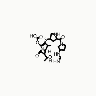 CC(O)C1C(=O)N2C(OC(=O)O)=C(SC3CNC(C(=O)N4CCC(NC=N)C4)C3)C(C)[C@@H]12